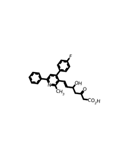 Cc1nc(-c2ccccc2)cc(-c2ccc(F)cc2)c1C=CC(O)CC(=O)CC(=O)O